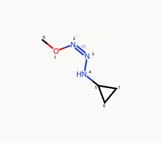 CO/N=N\NC1CC1